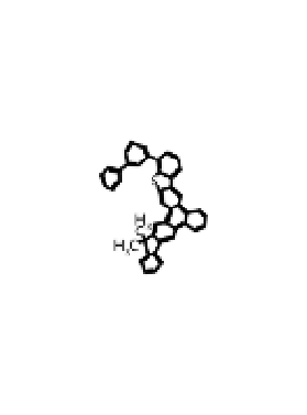 CC1(C)c2ccccc2-c2cc3c4ccccc4c4cc5c(cc4c3cc21)sc1c(-c2cccc(-c3ccccc3)c2)cccc15